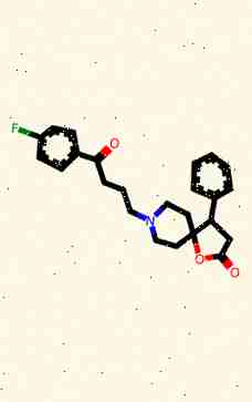 O=C1CC(c2ccccc2)C2(CCN(CCCC(=O)c3ccc(F)cc3)CC2)O1